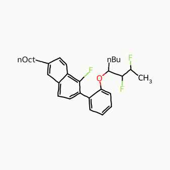 CCCCCCCCc1ccc2c(F)c(-c3ccccc3OC(CCCC)C(F)C(C)F)ccc2c1